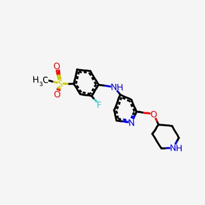 CS(=O)(=O)c1ccc(Nc2ccnc(OC3CCNCC3)c2)c(F)c1